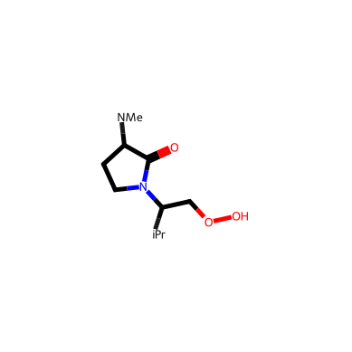 CNC1CCN(C(COO)C(C)C)C1=O